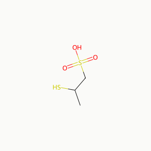 CC(S)CS(=O)(=O)O